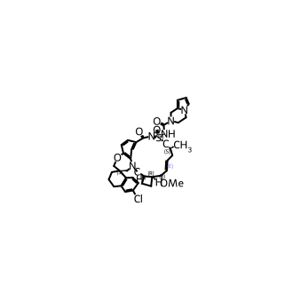 CO[C@H]1/C=C/C[C@H](C)C[S@@](=O)(NC(=O)N2CCn3cccc3C2)=NC(=O)c2ccc3c(c2)N(C[C@@H]2CC[C@H]21)C[C@@]1(CCCc2cc(Cl)ccc21)CO3